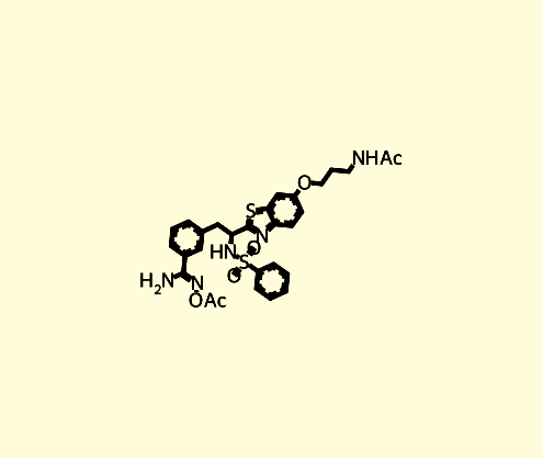 CC(=O)NCCCOc1ccc2nc(C(Cc3cccc(C(N)=NOC(C)=O)c3)NS(=O)(=O)c3ccccc3)sc2c1